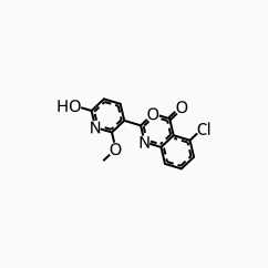 COc1nc(O)ccc1-c1nc2cccc(Cl)c2c(=O)o1